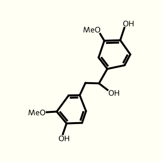 COc1cc(CC(O)c2ccc(O)c(OC)c2)ccc1O